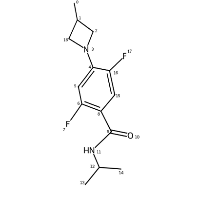 CC1CN(c2cc(F)c(C(=O)NC(C)C)cc2F)C1